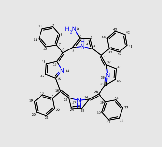 Nc1cc2[nH]c1c(-c1ccccc1)c1nc(c(-c3ccccc3)c3ccc([nH]3)c(-c3ccccc3)c3nc(c2-c2ccccc2)C=C3)C=C1